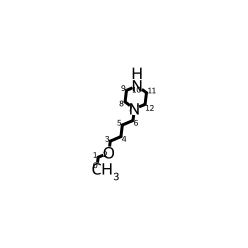 CCOCCCCN1CCNCC1